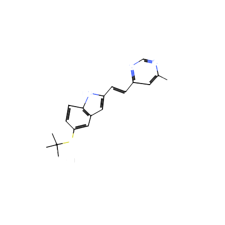 CC(C)(Sc1ccc2[nH]c(/C=C/c3cc(C(C)(C)C)ncn3)cc2c1)C(=O)O